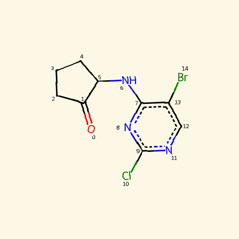 O=C1CCCC1Nc1nc(Cl)ncc1Br